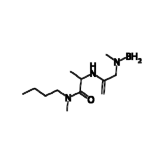 BN(C)CC(=C)NC(C)C(=O)N(C)CCCC